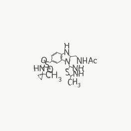 CC(=O)NCC1Nc2ccc(S(=O)(=O)NC3(C)CC3)cc2N1C1NNC(C)S1